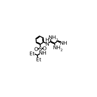 CCC(CC)NS(=O)(=O)c1ccccc1N/C(N)=C(\N)C=N